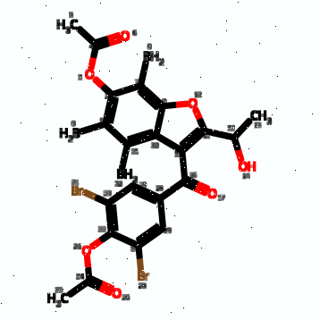 Bc1c(OC(C)=O)c(B)c2oc(C(C)O)c(C(=O)c3cc(Br)c(OC(C)=O)c(Br)c3)c2c1B